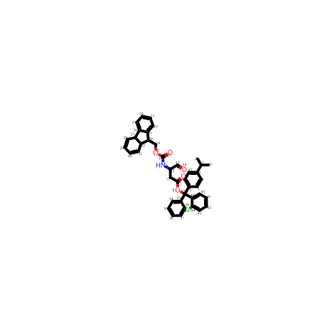 CC(C)c1ccc(C(OC(=O)CC(C=O)NC(=O)OCC2c3ccccc3C3C=CC=CC32)(c2ccccc2)c2ccccc2Cl)cc1